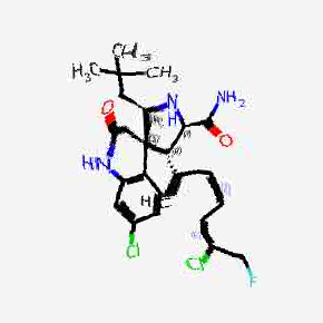 C=C(/C=C\C=C(\Cl)CF)[C@H]1[C@H](C(N)=O)N[C@H](CC(C)(C)C)[C@]12C(=O)Nc1cc(Cl)ccc12